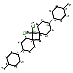 C[C@H]1CC[C@H](C2CCC3(CC2)CC2(CCC([C@H]4CC[C@H](C)CC4)CC2)C3(Cl)Cl)CC1